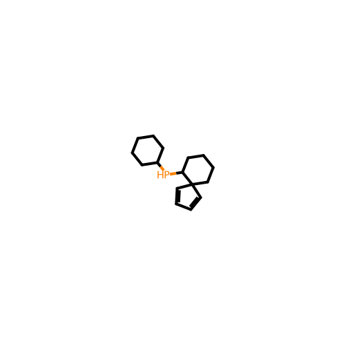 C1=CC2(C=C1)CCCCC2PC1CCCCC1